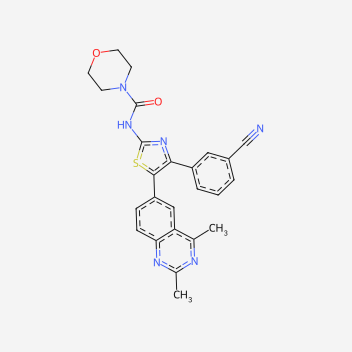 Cc1nc(C)c2cc(-c3sc(NC(=O)N4CCOCC4)nc3-c3cccc(C#N)c3)ccc2n1